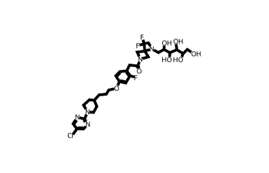 O=C(Cc1ccc(OCCCC2CCN(c3ncc(Cl)cn3)CC2)cc1F)N1CC2(C1)N(CC(O)C(O)C(O)C(O)CO)CC2(F)F